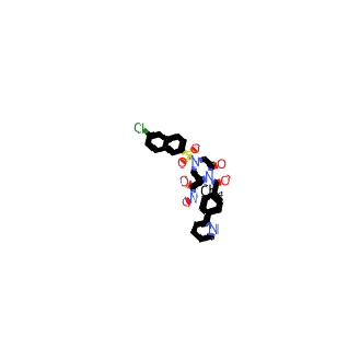 CC1(C(=O)N=O)CN(S(=O)(=O)c2ccc3cc(Cl)ccc3c2)CC(=O)N1C(=O)c1ccc(-c2ccccn2)cc1